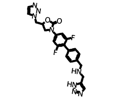 O=C1OC(Cn2ccnn2)CN1c1cc(F)c(-c2ccc(CNCc3cnn[nH]3)cc2)c(F)c1